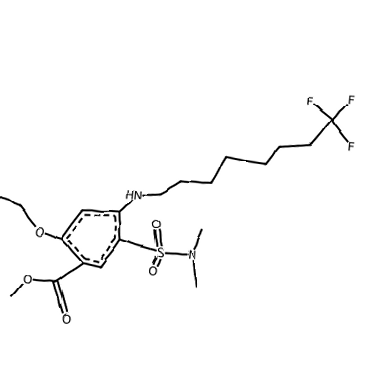 CCOc1cc(NCCCCCCCC(F)(F)F)c(S(=O)(=O)N(C)C)cc1C(=O)OC